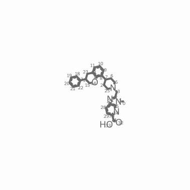 Cn1c(CN2CCC(c3cccc4c3OCC(c3ccccc3)C4)CC2)nc2ccc(C(=O)O)nc21